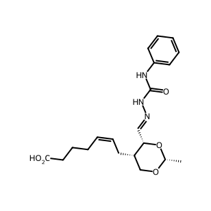 C[C@@H]1OC[C@H](C/C=C\CCCC(=O)O)[C@H](C=NNC(=O)Nc2ccccc2)O1